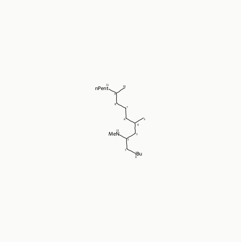 [CH2]CC(C)CC(CC(C)CCCC(C)CCCCC)NC